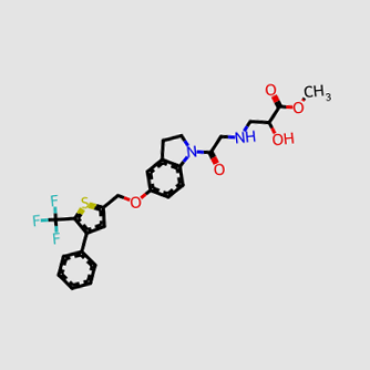 COC(=O)C(O)CNCC(=O)N1CCc2cc(OCc3cc(-c4ccccc4)c(C(F)(F)F)s3)ccc21